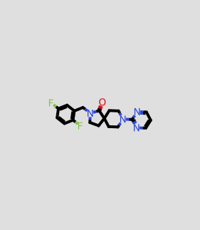 O=C1N(Cc2cc(F)ccc2F)CCC12CCN(c1ncccn1)CC2